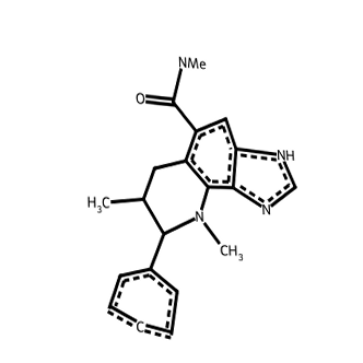 CNC(=O)c1cc2[nH]cnc2c2c1CC(C)C(c1ccccc1)N2C